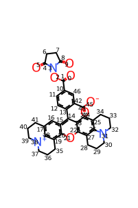 O=C(ON1C(=O)CCC1=O)c1ccc(C2=c3cc4c5c(c3Oc3c2cc2c6c3CCCN6CCC2)CCC[N+]=5CCC4)c(C(=O)[O-])c1